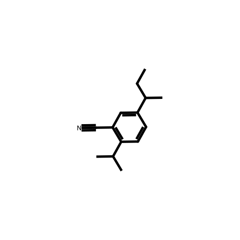 CCC(C)c1ccc(C(C)C)c(C#N)c1